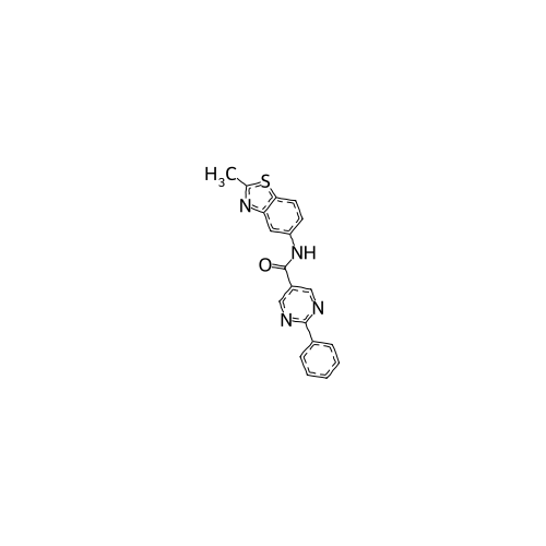 Cc1nc2cc(NC(=O)c3cnc(-c4ccccc4)nc3)ccc2s1